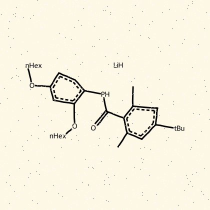 CCCCCCOc1ccc(PC(=O)c2c(C)cc(C(C)(C)C)cc2C)c(OCCCCCC)c1.[LiH]